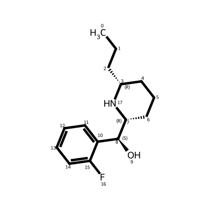 CCC[C@@H]1CCC[C@H]([C@@H](O)c2ccccc2F)N1